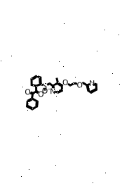 Cc1c(OCCOCc2ccccn2)ccnc1C[S+]([O-])C1=CC=CCC1C(=O)C(=O)c1ccccc1